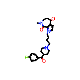 CN1CCC(=O)c2ccn(CCCCN3CCC(C(=O)c4ccc(F)cc4)CC3)c2C1=O